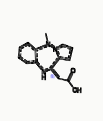 Cn1c2ccccc2[nH]/c(=C/C(=O)O)c2cccn21